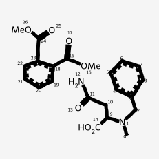 CN(Cc1ccccc1)C(CC(N)=O)C(=O)O.COC(=O)c1ccccc1C(=O)OC